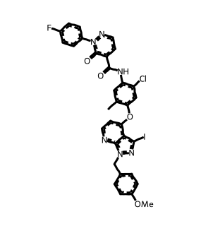 COc1ccc(Cn2nc(I)c3c(Oc4cc(Cl)c(NC(=O)c5ccnn(-c6ccc(F)cc6)c5=O)cc4C)ccnc32)cc1